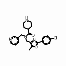 Cc1oc(-c2ccc(Cl)cc2)nc1CN(Cc1cccnc1)C(=O)C1CCNCC1